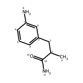 CC(Cc1cccc(N)c1)C(N)=O